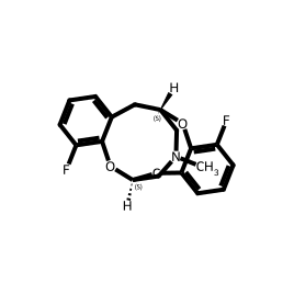 CN1C[C@@H]2Cc3cccc(F)c3O[C@@H](Cc3cccc(F)c3O2)C1